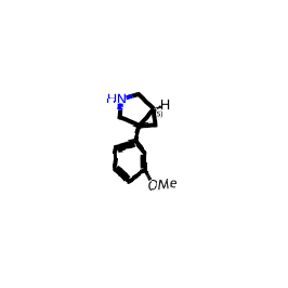 COc1cccc(C23CNC[C@H]2C3)c1